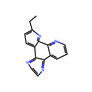 CCc1ccc2c3nccnc3c3cccnc3c2n1